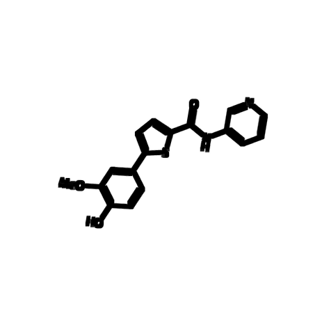 COc1cc(-c2ccc(C(=O)Nc3cccnc3)s2)ccc1O